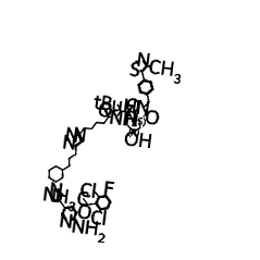 Cc1ncsc1-c1ccc(CNC(=O)[C@@H]2C[C@@H](O)CN2C(=O)C(NC(=O)CCCCn2cc(CCCC3CCCC(n4cc(-c5cnc(N)c(OC(C)c6c(Cl)ccc(F)c6Cl)c5)cn4)C3)nn2)C(C)(C)C)cc1